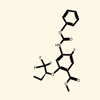 CC[C@H](Oc1cc(NC(=O)Oc2ccccc2)c(F)cc1C(=O)OC)C(F)(F)F